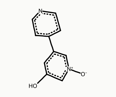 [O-][n+]1cc(O)cc(-c2ccncc2)c1